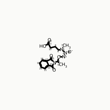 CC(O/N=[N+](/[O-])N(C)CCCC(=O)O)N1C(=O)c2ccccc2C1=O